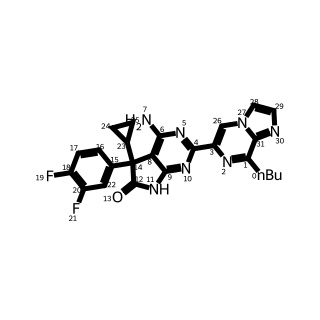 CCCCc1nc(-c2nc(N)c3c(n2)NC(=O)C3(c2ccc(F)c(F)c2)C2CC2)cn2ccnc12